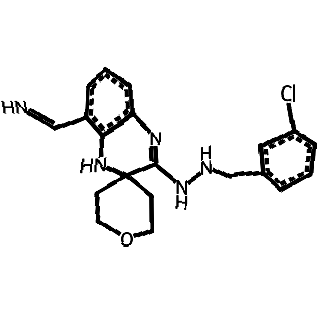 N=Cc1cccc2c1NC1(CCOCC1)C(NNCc1cccc(Cl)c1)=N2